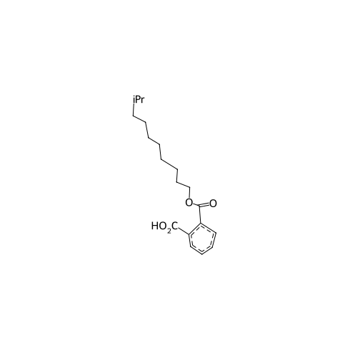 CC(C)CCCCCCCCOC(=O)c1ccccc1C(=O)O